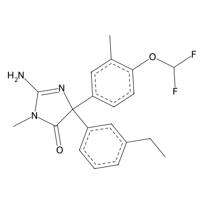 CCc1cccc(C2(c3ccc(OC(F)F)c(C)c3)N=C(N)N(C)C2=O)c1